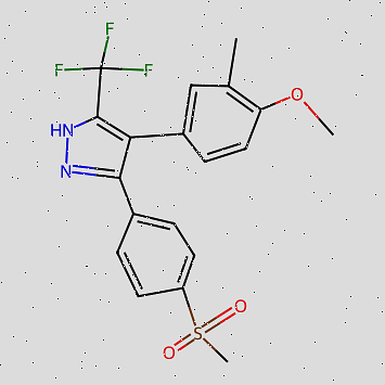 COc1ccc(-c2c(-c3ccc(S(C)(=O)=O)cc3)n[nH]c2C(F)(F)F)cc1C